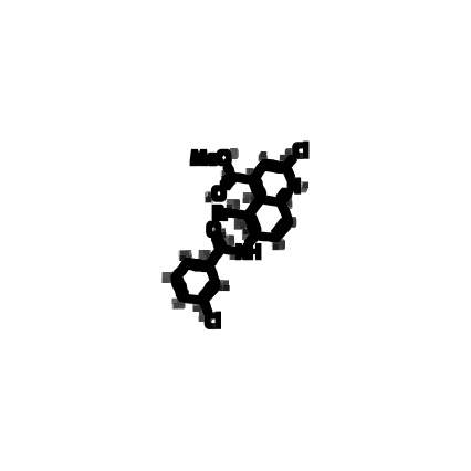 COC(=O)c1cc(Cl)nc2ccc(NC(=O)c3cccc(Cl)c3)c(Br)c12